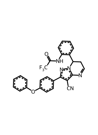 N#Cc1c(-c2ccc(Oc3ccccc3)cc2)nn2c1N=CCC2c1ccccc1NC(=O)C(F)(F)F